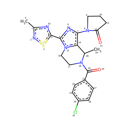 Cc1nsc(-c2nc(N3CCCC3=O)c3n2CCN(C(=O)c2ccc(Cl)cc2)C3C)n1